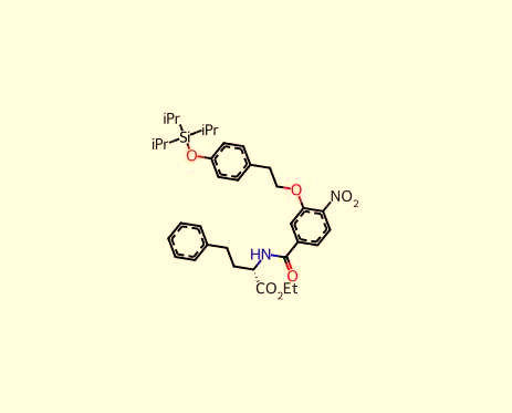 CCOC(=O)[C@H](CCc1ccccc1)NC(=O)c1ccc([N+](=O)[O-])c(OCCc2ccc(O[Si](C(C)C)(C(C)C)C(C)C)cc2)c1